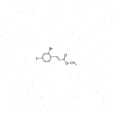 COC(=O)C=Cc1ccc(F)cc1Br